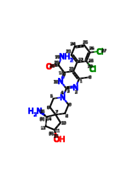 Cc1nc(N2CCC3(CC2)C[C@@H](O)C[C@H]3N)nc(C(N)=O)c1-c1cccc(Cl)c1Cl